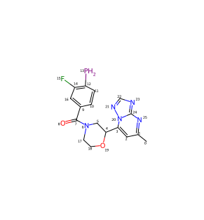 Cc1cc(C2CN(C(=O)c3ccc(P)c(F)c3)CCO2)n2ncnc2n1